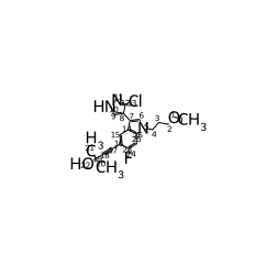 COCCCn1cc(-c2c[nH]nc2Cl)c2cc(C#CC(C)(C)O)c(F)cc21